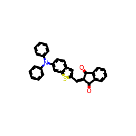 O=C1C(=Cc2cc3ccc(N(c4ccccc4)c4ccccc4)cc3s2)C(=O)c2ccccc21